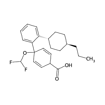 CCC[C@H]1CC[C@H](c2ccccc2C2(OC(F)F)C=CC(C(=O)O)C=C2)CC1